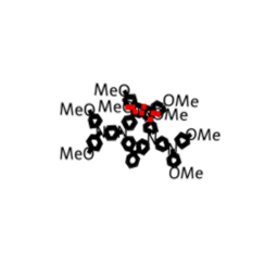 COc1ccc(N(c2ccc(OC)cc2)c2ccc(N(c3ccc(N(c4ccc(OC)cc4)c4ccc(OC)cc4)cc3)c3ccc(C4(c5ccc(N(c6ccc(N(c7ccc(OC)cc7)c7ccc(OC)cc7)cc6)c6ccc(N(c7ccc(OC)cc7)c7ccc(OC)cc7)cc6)cc5)CCCCC4)cc3)cc2)cc1